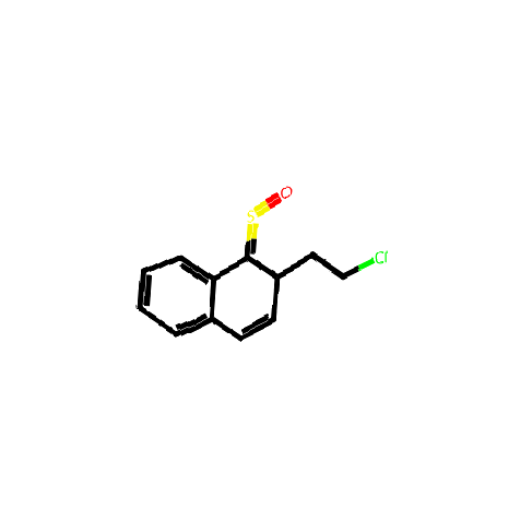 O=S=C1c2ccccc2C=CC1CCCl